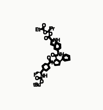 CCC(=O)OC(OC(=O)c1cc2cc(NC(=O)[C@H]3[C@@H](c4ccccc4)CCN3C(=O)C3CCC([C@@H](CF)NC(=O)OC(C)(C)C)CC3)ccc2[nH]1)C(C)C